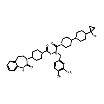 Bc1cc(C[C@@H](OC(=O)N2CCC(N3CCc4ccccc4NC3=O)CC2)C(=O)N2CCC(N3CCC(C4(O)CC4)CC3)CC2)ccc1O